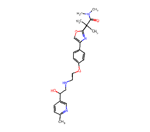 Cc1ccc(C(O)CNCCOc2ccc(-c3coc(C(C)(C)C(=O)N(C)C)n3)cc2)cn1